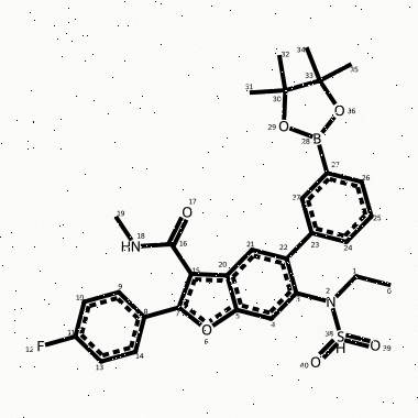 CCN(c1cc2oc(-c3ccc(F)cc3)c(C(=O)NC)c2cc1-c1cccc(B2OC(C)(C)C(C)(C)O2)c1)[SH](=O)=O